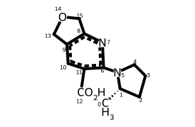 C[C@H]1CCCN1c1nc2c(cc1C(=O)O)COC2